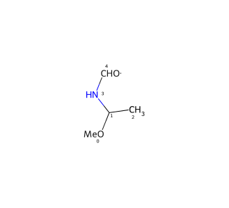 COC(C)N[C]=O